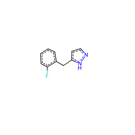 Fc1ccccc1Cc1ccn[nH]1